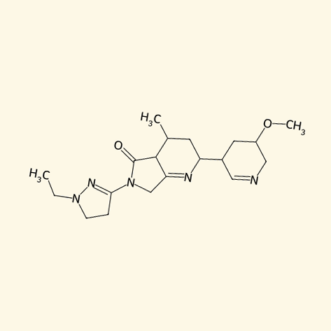 CCN1CCC(N2CC3=NC(C4C=NCC(OC)C4)CC(C)C3C2=O)=N1